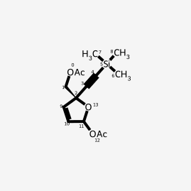 CC(=O)OC[C@]1(C#C[Si](C)(C)C)C=CC(OC(C)=O)O1